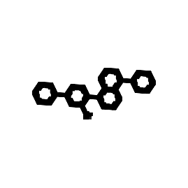 Brc1cc(-c2ccccc2)ccc1-c1cccc2c(-c3ccccc3)cccc12